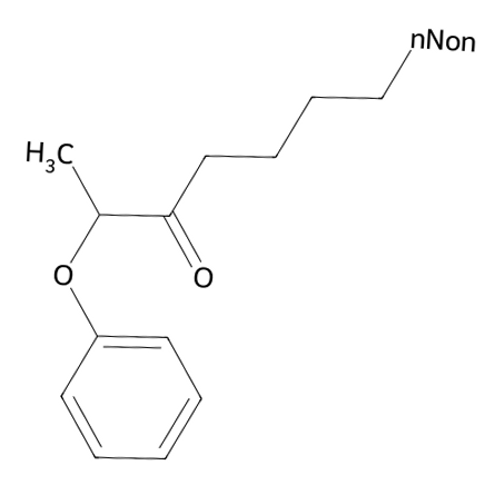 CCCCCCCCCCCCCC(=O)C(C)Oc1ccccc1